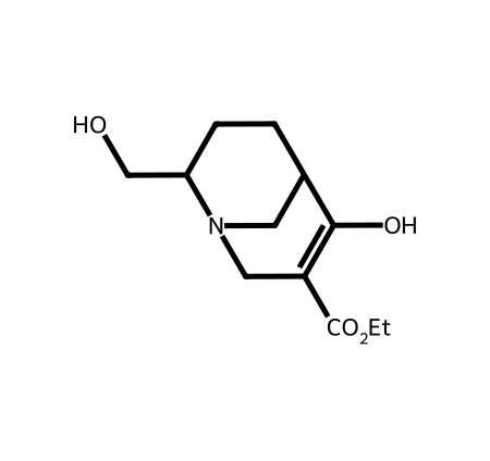 CCOC(=O)C1=C(O)C2CCC(CO)N(C1)C2